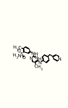 Cc1ccc(Nc2ncc(C)c(Nc3ccc(Cc4ccncc4)cc3)n2)cc1S(N)(=O)=O